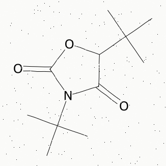 CC(C)(C)C1OC(=O)N(C(C)(C)C)C1=O